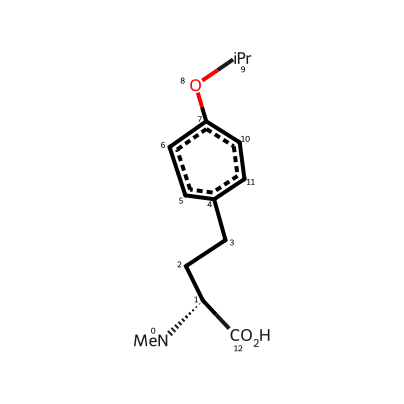 CN[C@H](CCc1ccc(OC(C)C)cc1)C(=O)O